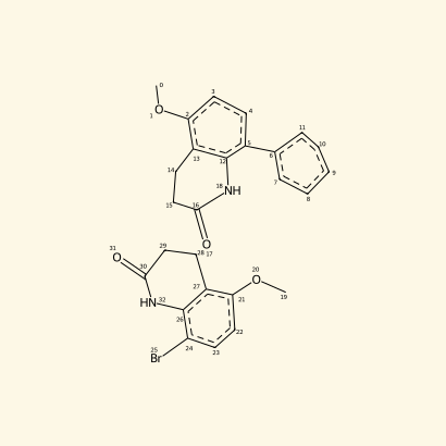 COc1ccc(-c2ccccc2)c2c1CCC(=O)N2.COc1ccc(Br)c2c1CCC(=O)N2